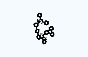 c1ccc(-c2cc(-c3ccccc3)nc(-c3cccc(-c4ccc(-c5cccc6c5nc(-c5ccc7c8ccccc8c8ccccc8c7c5)c5sc7ccccc7c56)cc4)c3)n2)cc1